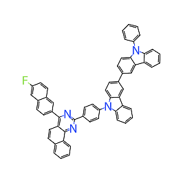 Fc1ccc2cc(-c3nc(-c4ccc(-n5c6ccccc6c6cc(-c7ccc8c(c7)c7ccccc7n8-c7ccccc7)ccc65)cc4)nc4c3ccc3ccccc34)ccc2c1